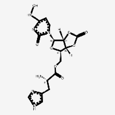 N[C@@H](Cc1c[nH]cn1)C(=O)OC[C@H]1O[C@@H](n2ccc(NO)nc2=O)[C@@H]2OC(=O)O[C@@H]21